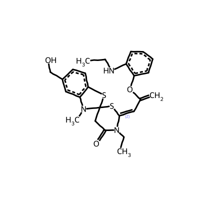 C=C(/C=C1\SC2(CC(=O)N1CC)Sc1ccc(CO)cc1N2C)Oc1ccccc1NCC